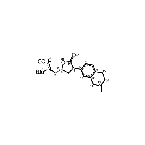 CC(C)(C)N(C[C@H]1CN(c2ccc3c(c2)CNCC3)C(=O)O1)C(=O)O